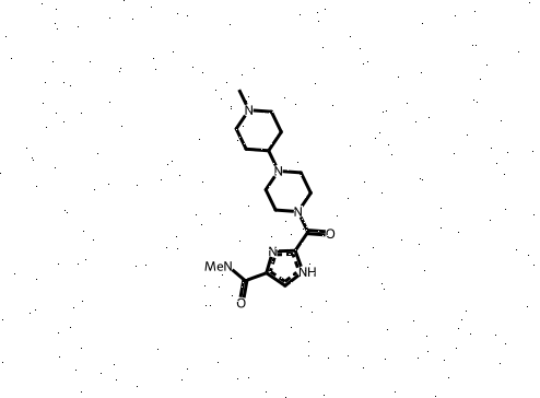 CNC(=O)c1c[nH]c(C(=O)N2CCN(C3CCN(C)CC3)CC2)n1